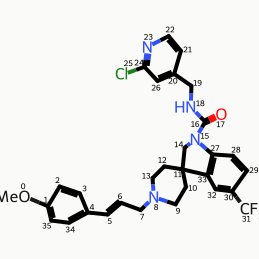 COc1ccc(/C=C/CN2CCC3(CC2)CN(C(=O)NCc2ccnc(Cl)c2)c2ccc(C(F)(F)F)cc23)cc1